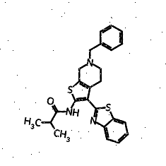 CC(C)C(=O)Nc1sc2c(c1-c1nc3ccccc3s1)CCN(Cc1ccccc1)C2